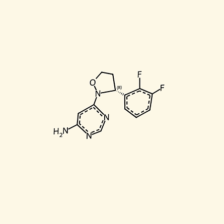 Nc1cc(N2OCC[C@@H]2c2cccc(F)c2F)ncn1